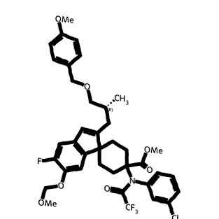 COCOc1cc2c(cc1F)C=C(C[C@@H](C)COCc1ccc(OC)cc1)C21CCC(C(=O)OC)(N(C(=O)C(F)(F)F)c2cccc(Cl)c2)CC1